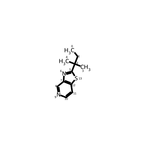 CCC(C)(C)c1nc2cnccc2s1